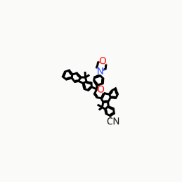 CC1(C)c2cc(C3(c4ccc(N5CCOCC5)cc4)C=Cc4c5c(c6ccccc6c4O3)-c3ccc(C#N)cc3C5(C)C)ccc2-c2cc3ccccc3cc21